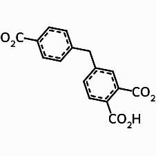 O=C(O)c1ccc(Cc2ccc(C(=O)O)c(C(=O)O)c2)cc1